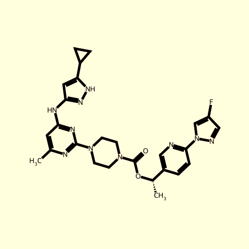 Cc1cc(Nc2cc(C3CC3)[nH]n2)nc(N2CCN(C(=O)O[C@@H](C)c3ccc(-n4cc(F)cn4)nc3)CC2)n1